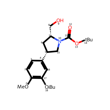 COc1ccc([C@@H]2C[C@H](CO)N(C(=O)OC(C)(C)C)C2)cc1OCC(C)C